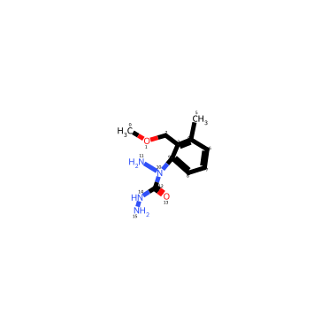 COCc1c(C)cccc1N(N)C(=O)NN